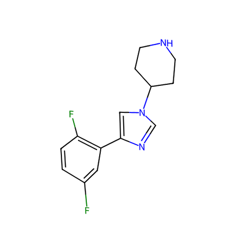 Fc1ccc(F)c(-c2cn(C3CCNCC3)cn2)c1